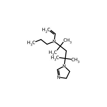 C=CN(CCC)C(C)(C)CC(C)(C)N1C=NCC1